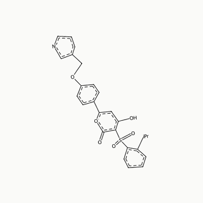 CC(C)c1ccccc1S(=O)(=O)c1c(O)cc(-c2ccc(OCc3cccnc3)cc2)oc1=O